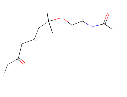 CC(C)CC(=O)CCCC(C)(C)OCCNC(=O)C(C)C